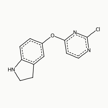 Clc1nccc(Oc2ccc3c(c2)CCN3)n1